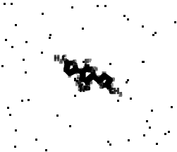 Cc1ccc(-c2c(F)nc(-c3ccc(C)s3)c3snnc23)s1